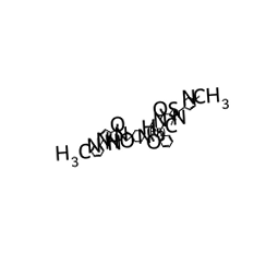 Cc1ccc(-c2nc(C)c(C(=O)N3CC[C@@H](C(=O)N4CCC(O)(Cn5cnc6c(ccn6-c6cccc(C)n6)c5=O)CC4)[C@H](c4ccccc4)C3)s2)cn1